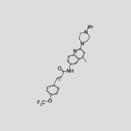 Cc1cc(N2CCN(C(C)C)CC2)nc2ccc(NC(=O)/C=C/c3ccc(OC(F)(F)F)cc3)cc12